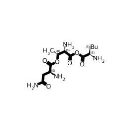 CC[C@H](C)[C@H](N)C(=O)OC(=O)[C@@H](N)[C@@H](C)OC(=O)[C@@H](N)CC(N)=O